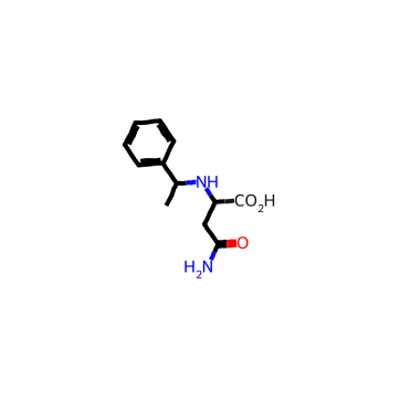 CC(NC(CC(N)=O)C(=O)O)c1ccccc1